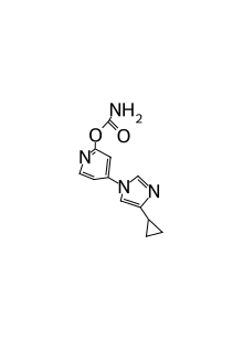 NC(=O)Oc1cc(-n2cnc(C3CC3)c2)ccn1